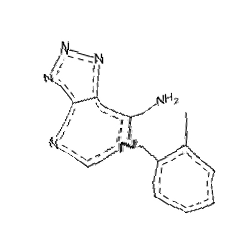 Cc1ccccc1-n1cnc2nnnc-2c1N